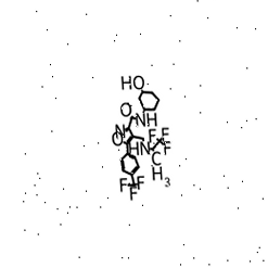 C[C@H](NCc1c(C(=O)N[C@@H]2CCC[C@H](O)C2)noc1-c1ccc(C(F)(F)F)cc1)C(F)(F)F